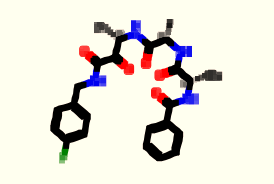 CC(C)[C@H](NC(=O)[C@H](C)NC(=O)[C@@H](NC(=O)c1ccccc1)C(C)(C)C)C(=O)C(=O)NCc1ccc(F)cc1